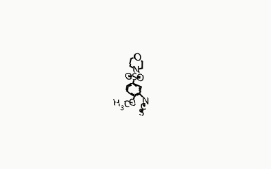 COc1ccc(S(=O)(=O)N2CCOCC2)cc1N=C=S